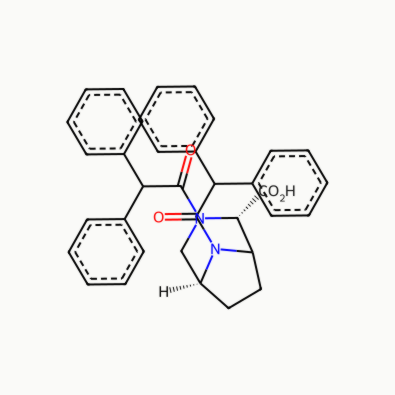 O=C(O)[C@@H]1C2CC[C@@H](CN1C(=O)C(c1ccccc1)c1ccccc1)N2C(=O)C(c1ccccc1)c1ccccc1